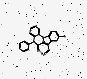 C=Cc1c2n(c3ccc(Br)cc13)-c1ccccc1N(c1ccccc1)C2=C